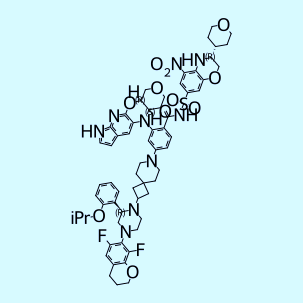 CC(C)Oc1ccccc1[C@@H]1CN(c2c(F)cc3c(c2F)OCCC3)CCN1C1CC2(CCN(c3ccc(C(=O)NS(=O)(=O)c4cc5c(c([N+](=O)[O-])c4)N[C@H](C4CCOCC4)CO5)c(N4c5cc6cc[nH]c6nc5O[C@H]5COCC[C@@H]54)c3)CC2)C1